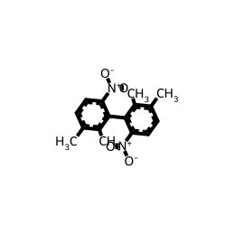 Cc1ccc([N+](=O)[O-])c(-c2c([N+](=O)[O-])ccc(C)c2C)c1C